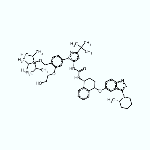 CC(C)[Si](OCc1ccc(-n2nc(C(C)(C)C)cc2NC(=O)N[C@H]2CC[C@@H](Oc3ccc4nnc(N5CCCC[C@@H]5C)n4c3)c3ccccc32)cc1OCCO)(C(C)C)C(C)C